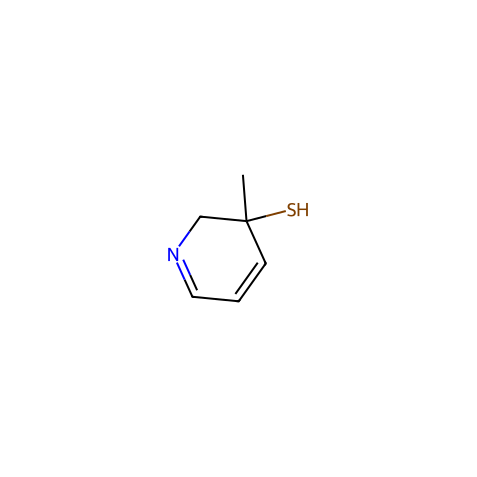 CC1(S)C=CC=NC1